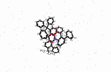 CC1(C)c2ccccc2-c2c(N(c3ccc4c(c3)C(c3ccccc3)(c3ccccc3)c3ccccc3-4)c3cccc(-c4ccccc4)c3-c3ccccc3-c3ccccc3)cccc21